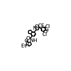 CCN1CCC(NC(=O)c2ccc(C3=NOC(c4cc(Cl)c(F)c(Cl)c4)(C(F)(F)F)C3)c3c2CCC3)C1=O